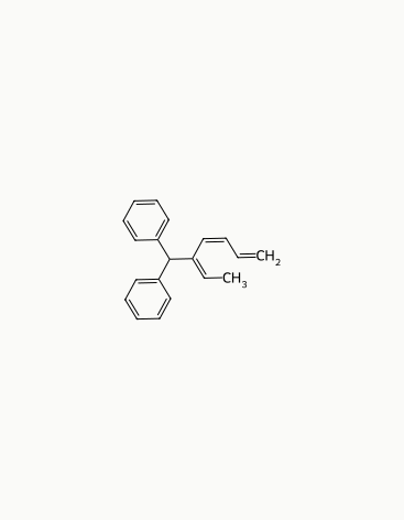 C=C/C=C\C(=C/C)C(c1ccccc1)c1ccccc1